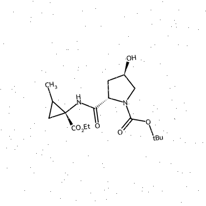 CCOC(=O)[C@@]1(NC(=O)[C@@H]2C[C@@H](O)CN2C(=O)OC(C)(C)C)CC1C